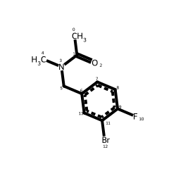 CC(=O)N(C)Cc1ccc(F)c(Br)c1